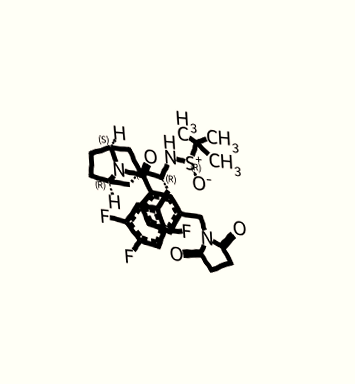 CC(C)(C)[S@+]([O-])N[C@H](Cc1cc(F)c(F)cc1F)[C@@H]1C[C@H]2CC[C@@H](C1)N2C(=O)c1cccc(CN2C(=O)CCC2=O)c1